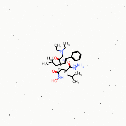 CCN(CC)CC(=O)C(/C=C/c1ccccc1)(CC(C)C)[C@@H](C(=O)NO)[C@@H](CC(C)C)C(=O)NN